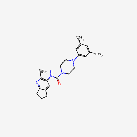 CNc1nc2c(cc1NC(=O)N1CCN(c3cc(C)cc(C)c3)CC1)CCC2